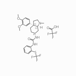 COc1ccc([C@@]23CC[C@@H](NC(=O)Nc4ccccc4SC(F)(F)F)C[C@@H]2N(C)CC3)cc1OC.O=C(O)C(F)(F)F